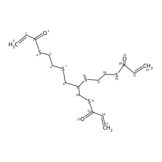 C=CC(=O)SCCSCC(CSC(=O)C=C)SCCSC(=O)C=C